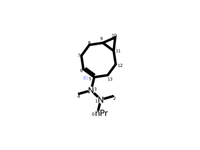 CCCN(C)N(C)/C1=C/CCC2CC2CC1